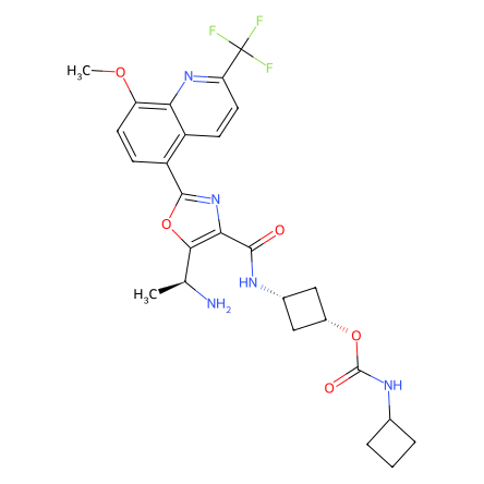 COc1ccc(-c2nc(C(=O)N[C@H]3C[C@@H](OC(=O)NC4CCC4)C3)c([C@H](C)N)o2)c2ccc(C(F)(F)F)nc12